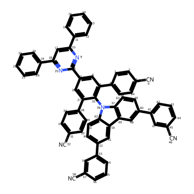 N#Cc1ccc(-c2cc(-c3nc(-c4ccccc4)cc(-c4ccccc4)n3)cc(-c3ccc(C#N)cc3)c2-n2c3ccc(-c4cccc(C#N)c4)cc3c3cc(-c4cccc(C#N)c4)ccc32)cc1